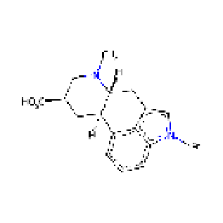 CC(C)n1cc2c3c(cccc31)[C@H]1C[C@@H](C(=O)O)CN(C)[C@@H]1C2